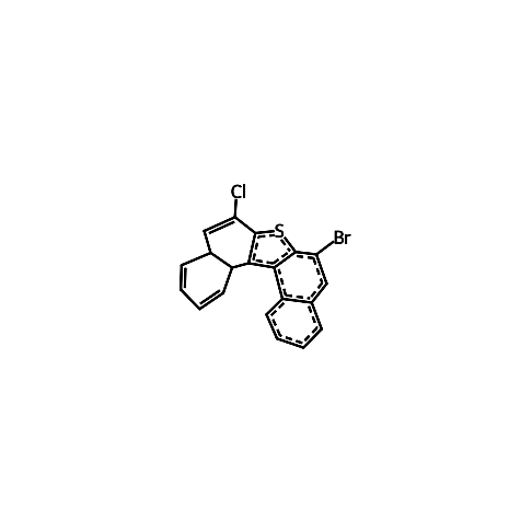 ClC1=CC2C=CC=CC2c2c1sc1c(Br)cc3ccccc3c21